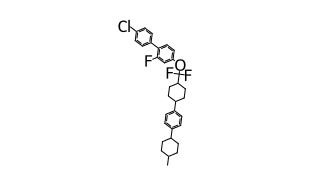 CC1CCC(c2ccc(C3CCC(C(F)(F)Oc4ccc(-c5ccc(Cl)cc5)c(F)c4)CC3)cc2)CC1